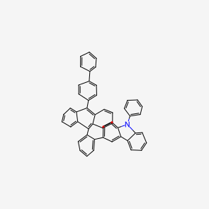 c1ccc(-c2ccc(-c3c4ccccc4c(-c4ccccc4-c4ccc5c(c4)c4ccccc4n5-c4ccccc4)c4ccccc34)cc2)cc1